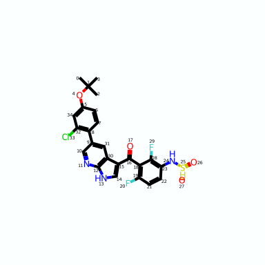 CC(C)(C)Oc1ccc(-c2cnc3[nH]cc(C(=O)c4c(F)ccc(N[SH](=O)=O)c4F)c3c2)c(Cl)c1